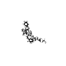 CCOC(=O)CN1C(=O)[C@@H](NC(=O)[C@H](Cc2ccccc2)SC(C)=O)CCc2ccccc21